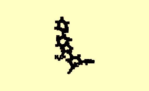 CNc1cc(F)nc(N2Cc3nc(-c4ncccn4)ncc3C2C)c1